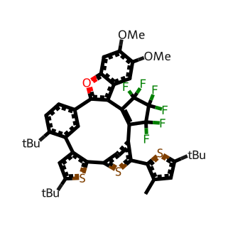 COc1cc2oc3c(c2cc1OC)C1=C(c2cc(sc2-c2sc(C(C)(C)C)cc2C)-c2sc(C(C)(C)C)cc2-c2cc-3ccc2C(C)(C)C)C(F)(F)C(F)(F)C1(F)F